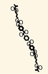 C=C(C)C(=O)OCCCCOC(=O)Oc1ccc(OC(=O)[C@H]2CC[C@H](C(=O)C(=O)c3ccc(OC(=O)OCCCCOC(=O)C(=C)C)cc3)CC2)cc1